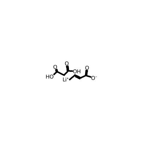 CC=CC(=O)[O-].O=C(O)CC(=O)O.[Li+]